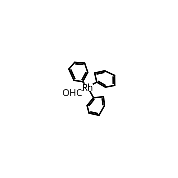 O=[CH][Rh]([c]1ccccc1)([c]1ccccc1)[c]1ccccc1